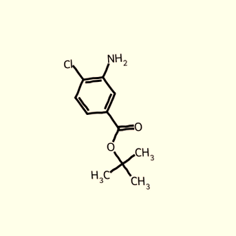 CC(C)(C)OC(=O)c1ccc(Cl)c(N)c1